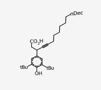 CCCCCCCCCCCCCCCCC#CC(CC(=O)O)c1cc(C(C)(C)C)c(O)c(C(C)(C)C)c1